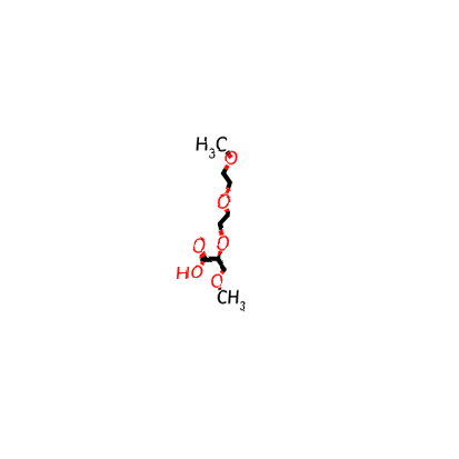 COCCOCCOC(COC)C(=O)O